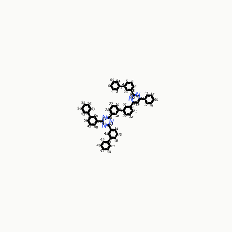 c1ccc(-c2cccc(-c3nc(-c4ccccc4)cc(-c4cccc(-c5cccc(-c6nc(-c7cccc(-c8ccccc8)c7)nc(-c7cccc(-c8ccccc8)c7)n6)c5)c4)n3)c2)cc1